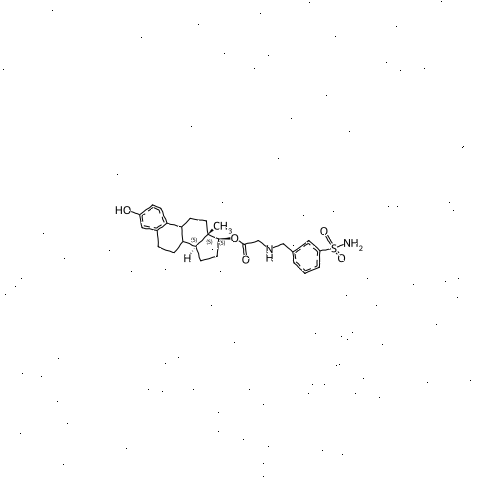 C[C@]12CCC3c4ccc(O)cc4CCC3[C@@H]1CC[C@@H]2OC(=O)CNCc1cccc(S(N)(=O)=O)c1